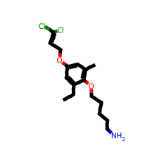 CCc1cc(OCC=C(Cl)Cl)cc(C)c1OCCCCCN